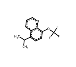 CC(C)c1ccc(OC(F)(F)F)c2ncccc12